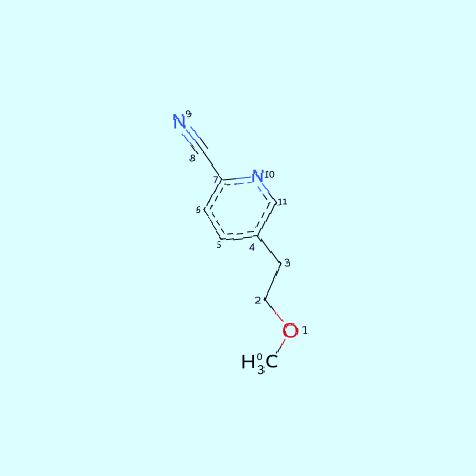 COCCc1ccc(C#N)nc1